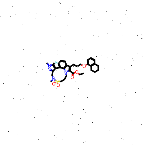 CCOC(=O)c1c(CCCOc2cccc3c2CCCC3)c2ccc(F)c3c2n1CCCS(=O)(=O)N(C)Cc1nn(C)c(C)c1-3